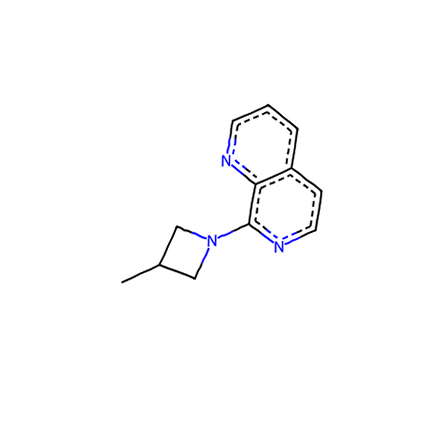 CC1CN(c2nccc3cccnc23)C1